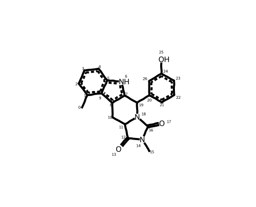 Cc1cccc2[nH]c3c(c12)CC1C(=O)N(C)C(=O)N1C3c1cccc(O)c1